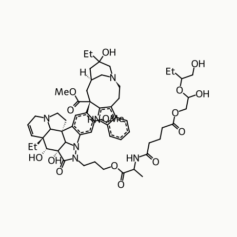 CCC(CO)OC(O)COC(=O)CCCC(=O)NC(C)C(=O)OCCCN1C(=O)[C@]2(O)C3N1c1cc(OC)c([C@@]4(C(=O)OC)C[C@@H]5C[N@](CCc6c4[nH]c4ccccc64)CC(O)(CC)C5)cc1[C@@]31CCN3CC=C[C@](CC)(C31)[C@H]2O